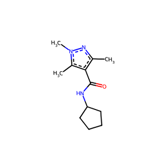 Cc1nn(C)c(C)c1C(=O)NC1CCCC1